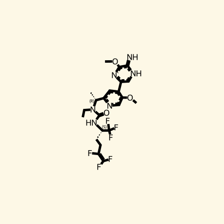 CCN(C(=O)N[C@@H](CCC(F)=C(F)F)C(F)(F)F)[C@H](C)c1cc(-c2c[nH]c(=N)c(OC)n2)c(OC)cn1